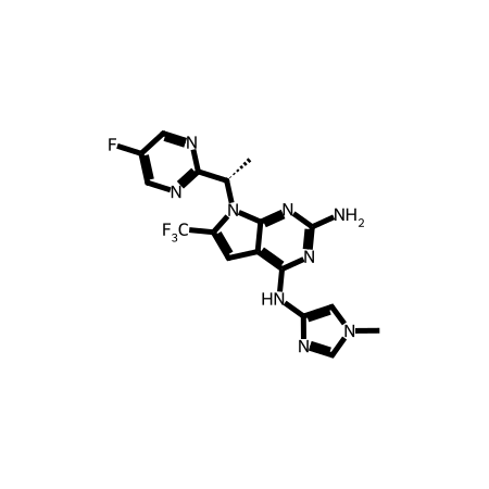 C[C@@H](c1ncc(F)cn1)n1c(C(F)(F)F)cc2c(Nc3cn(C)cn3)nc(N)nc21